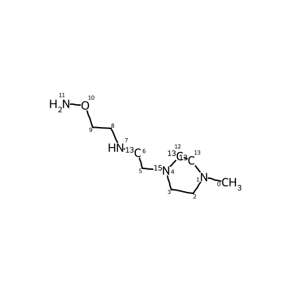 CN1CC[15N](C[13CH2]NCCON)[13CH2][13CH2]1